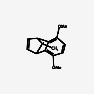 COc1ccc(OC)c2c1C1C=CC2N1C